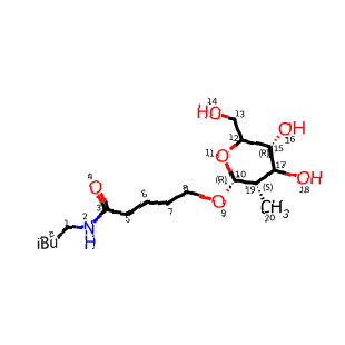 CCC(C)CNC(=O)CCCCO[C@@H]1OC(CO)[C@H](O)C(O)[C@@H]1C